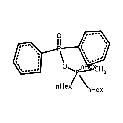 CCCCCCP(C)(CCCCCC)(CCCCCC)OP(=O)(c1ccccc1)c1ccccc1